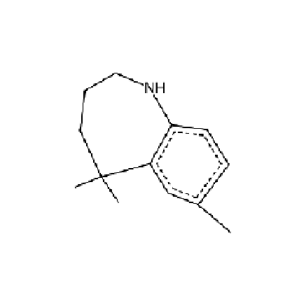 Cc1ccc2c(c1)C(C)(C)CCCN2